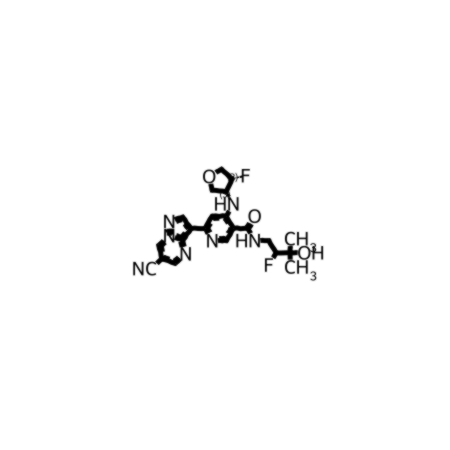 CC(C)(O)C(F)CNC(=O)c1cnc(-c2cnn3cc(C#N)cnc23)cc1N[C@H]1COC[C@@H]1F